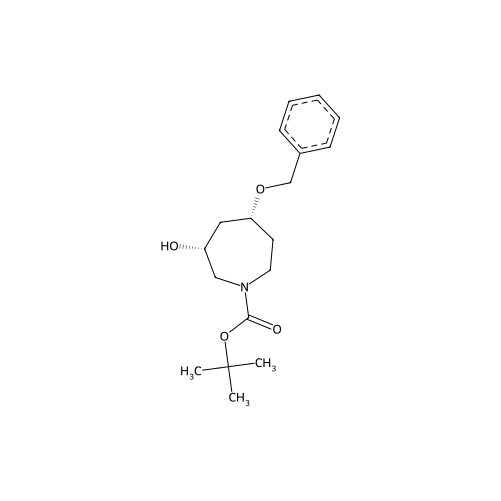 CC(C)(C)OC(=O)N1CC[C@@H](OCc2ccccc2)C[C@@H](O)C1